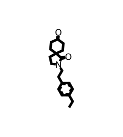 CCc1ccc(CCN2CCC3(CCC(=O)CC3)C2=O)cc1